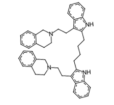 c1ccc2c(c1)CCN(CCc1c(CCCCc3[nH]c4ccccc4c3CCN3CCc4ccccc4C3)[nH]c3ccccc13)C2